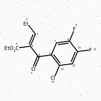 CCC=C(C(=O)OCC)C(=O)c1cc(F)c(F)cc1Cl